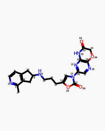 Cc1nccc2c1CC(NCCCc1cn(-c3cnc4c(n3)NC(=O)CO4)c(=O)o1)C2